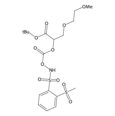 COCCOCC(OC(=O)ONS(=O)(=O)c1ccccc1S(C)(=O)=O)C(=O)OC(C)(C)C